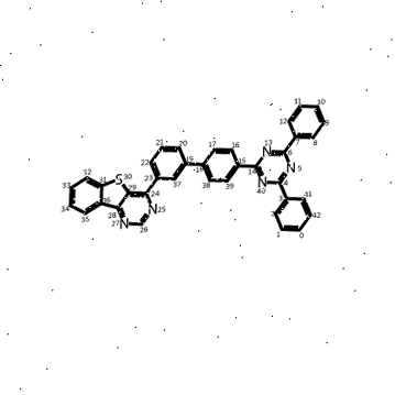 c1ccc(-c2nc(-c3ccccc3)nc(-c3ccc(-c4cccc(-c5ncnc6c5sc5ccccc56)c4)cc3)n2)cc1